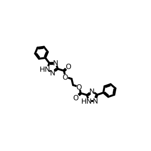 O=C(OCCOC(=O)c1nc(-c2ccccc2)n[nH]1)c1n[nH]c(-c2ccccc2)n1